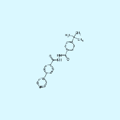 CC(C)(C)c1ccc(C(=O)NNC(=O)c2ccc(-c3ccncc3)cc2)cc1